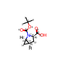 CC(C)(C)OC(=O)N1[C@@H](C(=O)O)C[C@H]2C[C@H]21